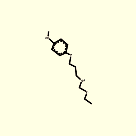 CCOCNCCCOc1ccc(NC)cc1